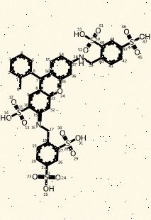 Cc1ccccc1-c1c2cc(S(=O)(=O)O)/c(=N/Cc3ccc(S(=O)(=O)O)cc3S(=O)(=O)O)cc-2oc2cc(NCc3ccc(S(=O)(=O)O)cc3S(=O)(=O)O)ccc12